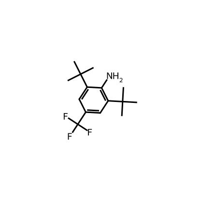 CC(C)(C)c1cc(C(F)(F)F)cc(C(C)(C)C)c1N